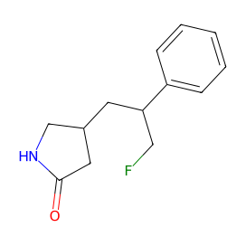 O=C1CC(CC(CF)c2ccccc2)CN1